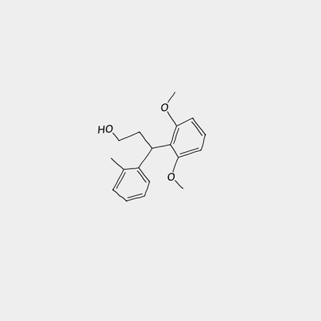 COc1cccc(OC)c1C(CCO)c1ccccc1C